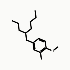 CCCCC(CCC)Cc1ccc(OC)c(C)c1